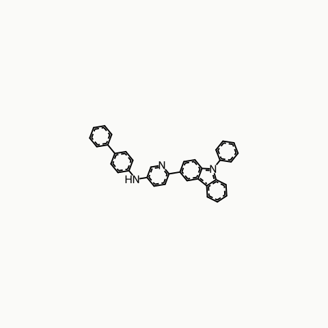 c1ccc(-c2ccc(Nc3ccc(-c4ccc5c(c4)c4ccccc4n5-c4ccccc4)nc3)cc2)cc1